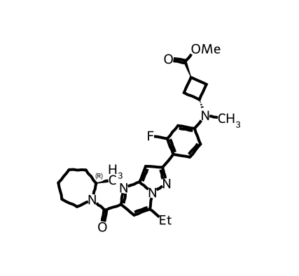 CCc1cc(C(=O)N2CCCCC[C@H]2C)nc2cc(-c3ccc(N(C)[C@H]4C[C@H](C(=O)OC)C4)cc3F)nn12